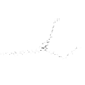 CCCCCCCC/C=C\CCCCCCCC[N+](CCCCCCCCCCCCCCCC)(CCCCCCCCCCCCCCCCCC)C(=O)OCC